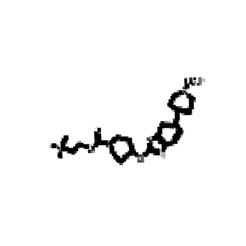 C[Si](C)(C)CCOC(=O)N1CCC(Oc2nc3ccc(C4=CCN(C(=O)O)CC4)cc3s2)CC1